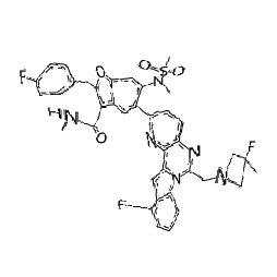 CNC(=O)c1c(-c2ccc(F)cc2)oc2cc(N(C)S(C)(=O)=O)c(-c3ccc4nc(CN5CC(C)(F)C5)n5c6cccc(F)c6cc5c4n3)cc12